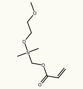 C=CC(=O)OC[Si](C)(C)OCCOC